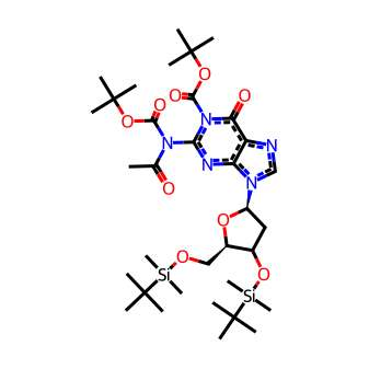 CC(=O)N(C(=O)OC(C)(C)C)c1nc2c(ncn2[C@H]2CC(O[Si](C)(C)C(C)(C)C)[C@@H](CO[Si](C)(C)C(C)(C)C)O2)c(=O)n1C(=O)OC(C)(C)C